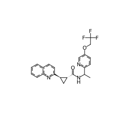 CC(NC(=O)[C@@H]1C[C@H]1c1ccc2ccccc2n1)c1ccc(OCC(F)(F)F)cn1